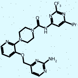 CC(C)c1cc(NC(=O)N2CCN(c3ncccc3OCc3ccnc(N)n3)CC2)nc(C(F)(F)F)n1